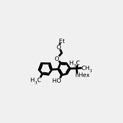 CCCCCCC(C)(C)c1cc(O)c(-c2cccc(C)c2)c(OCOCC)c1